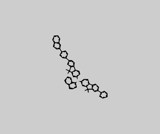 CC1(C)c2cc(-c3ccccc3)ccc2-c2ccc(N(c3ccc4c(c3)C(C)(C)c3cc(-c5ccc(-c6ccc7ccccc7c6)cc5)ccc3-4)c3cccc4ccccc34)cc21